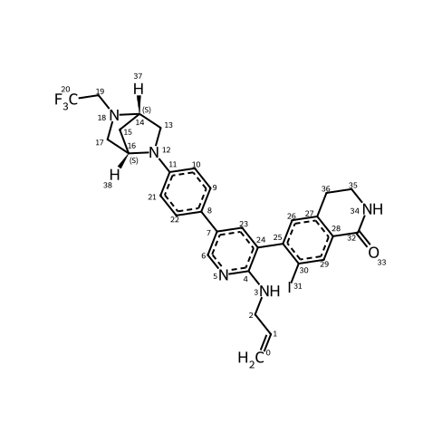 C=CCNc1ncc(-c2ccc(N3C[C@@H]4C[C@H]3CN4CC(F)(F)F)cc2)cc1-c1cc2c(cc1I)C(=O)NCC2